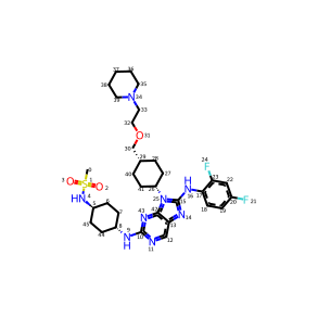 CS(=O)(=O)N[C@H]1CC[C@H](Nc2ncc3nc(Nc4ccc(F)cc4F)n([C@H]4CC[C@@H](COCCN5CCCCC5)CC4)c3n2)CC1